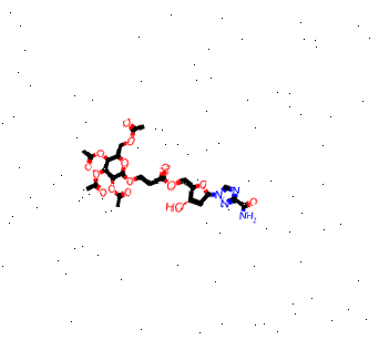 CC(=O)OCC1OC(OCCC(=O)OCC2OC(n3cnc(C(N)=O)n3)C[C@@H]2O)C(OC(C)=O)C(OC(C)=O)C1OC(C)=O